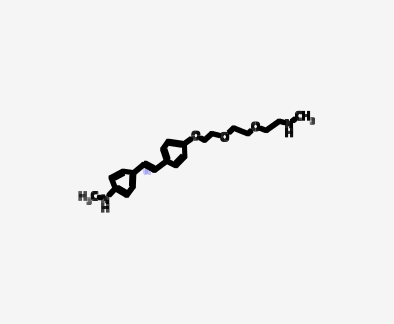 CNCCOCCOCCOc1ccc(/C=C/c2ccc(NC)cc2)cc1